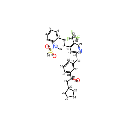 CN(c1ccccc1CCc1cc(Cc2cccc(C(=O)CC3CCCC3)c2)ncc1C(F)(F)F)S(C)(=O)=O